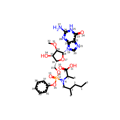 CCCC(C)CN(C(C)C(=O)O)[P@@](=O)(OC[C@H]1O[C@@H](n2cnc3c(=O)[nH]c(N)nc32)[C@H](OC)[C@@H]1O)Oc1ccccc1